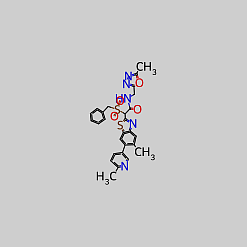 Cc1ccc(-c2cc3sc(C(C(=O)NCc4nnc(C)o4)S(=O)(=O)Cc4ccccc4)nc3cc2C)cn1